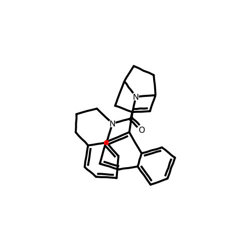 O=C(N1CCCc2ccccc21)N1C2C=C(c3cccc4ccccc34)CC1CC2